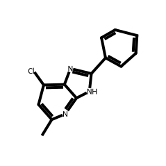 Cc1cc(Cl)c2nc(-c3ccccc3)[nH]c2n1